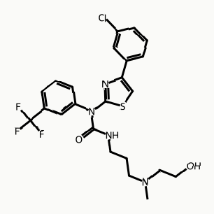 CN(CCO)CCCNC(=O)N(c1cccc(C(F)(F)F)c1)c1nc(-c2cccc(Cl)c2)cs1